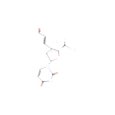 O=CC=C[C@]1(O)C[C@H](n2ccc(=O)[nH]c2=O)O[C@@H]1C(O)I